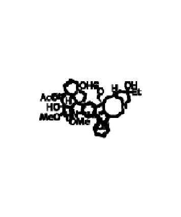 CC[C@]1(O)C[C@H]2C[N@](CCc3c([nH]c4ccccc34)[C@@](COC=O)(c3cc4c(cc3CO)N(OC)[C@@H]3[C@]45CCN4CC=C[C@@](CC)(C(OC(C)=O)[C@]3(O)C(=O)OC)[C@H]45)C2)C1